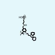 O=[PH](O)OCCCNCc1ccc(SCCCCC2(c3ccccc3)CCCCC2)c(C(F)(F)F)c1